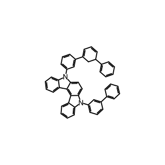 C1=CC(c2ccccc2)CC(c2cccc(-n3c4ccccc4c4c5c6ccccc6n(-c6cccc(-c7ccccc7)c6)c5ccc43)c2)=C1